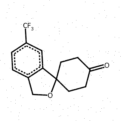 O=C1CCC2(CC1)OCc1ccc(C(F)(F)F)cc12